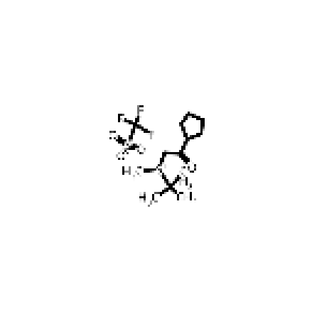 C[S+](CC(=O)C1CCCC1)C(C)(C)C.O=S(=O)([O-])C(F)(F)F